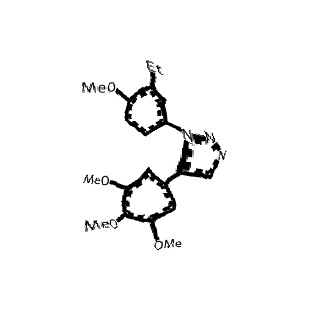 CCc1cc(-n2nncc2-c2cc(OC)c(OC)c(OC)c2)ccc1OC